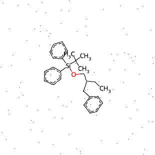 CCC(CO[Si](c1ccccc1)(c1ccccc1)C(C)(C)C)Cc1ccccc1